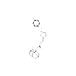 Cc1ccc(S(=O)(=O)N2CCC(CNC(=O)NC34CC5CC(CC(C5)C3)C4)C2)cc1